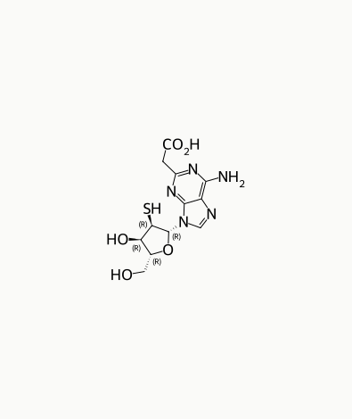 Nc1nc(CC(=O)O)nc2c1ncn2[C@@H]1O[C@H](CO)[C@@H](O)[C@H]1S